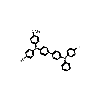 COc1ccc(N(c2ccc(C)cc2)c2ccc(-c3ccc(N(c4ccccc4)c4ccc(C)cc4)cc3)cc2)cc1